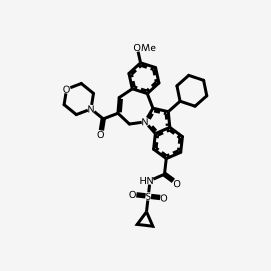 COc1ccc2c(c1)C=C(C(=O)N1CCOCC1)Cn1c-2c(C2CCCCC2)c2ccc(C(=O)NS(=O)(=O)C3CC3)cc21